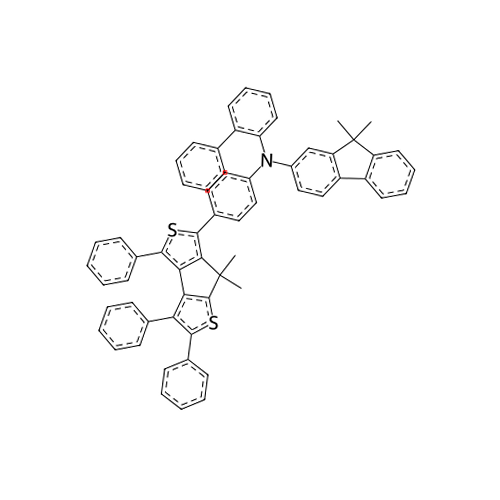 CC1(C)c2ccccc2-c2ccc(N(c3ccc(-c4sc(-c5ccccc5)c5c4C(C)(C)c4sc(-c6ccccc6)c(-c6ccccc6)c4-5)cc3)c3ccccc3-c3ccccc3)cc21